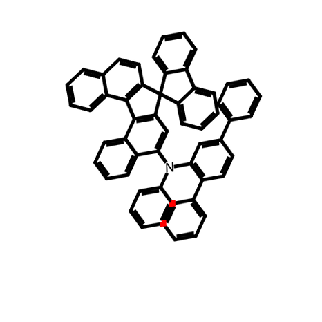 c1ccc(-c2ccc(-c3ccccc3)c(N(c3ccccc3)c3cc4c(c5ccccc35)-c3c(ccc5ccccc35)C43c4ccccc4-c4ccccc43)c2)cc1